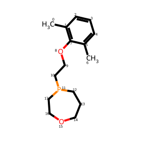 Cc1cccc(C)c1OCCP1CCCOCC1